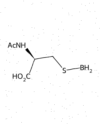 BSC[C@H](NC(C)=O)C(=O)O